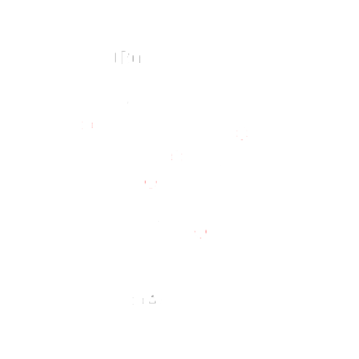 CC(=O)OCC(=O)OC(C)C(=O)OCC(=O)C(C)(C)C